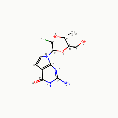 C[C@@H](O)[C@@H](CO)O[C@H](CF)n1ccc2c(=O)[nH]c(N)nc21